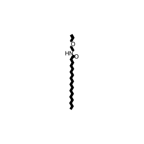 C=CCOCCNC(=O)CCCCCCCCCCCCCCCCC